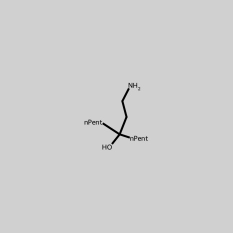 CCCCCC(O)(CCN)CCCCC